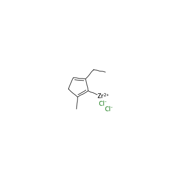 CCC1=CCC(C)=[C]1[Zr+2].[Cl-].[Cl-]